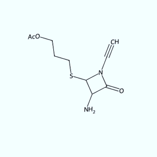 C#CN1C(=O)C(N)C1SCCCOC(C)=O